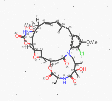 COc1cc2cc(c1Cl)N1CC(C)C(C)(O)C(=O)N[C@@H](C)C(=O)O[C@@H](CC1=O)[C@@]1(C)CC(C)(O1)[C@@H]1C[C@@](O)(NC(=O)O1)[C@H](OC)/C=C/C=C(\C)C2